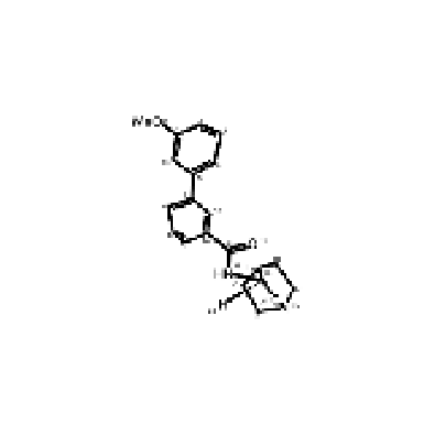 COc1cccc(-c2cccc(C(=O)N[C@H]3CN4CCC3CC4)c2)c1